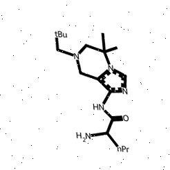 CCCC(N)C(=O)Nc1ncn2c1CN(CC(C)(C)C)CC2(C)C